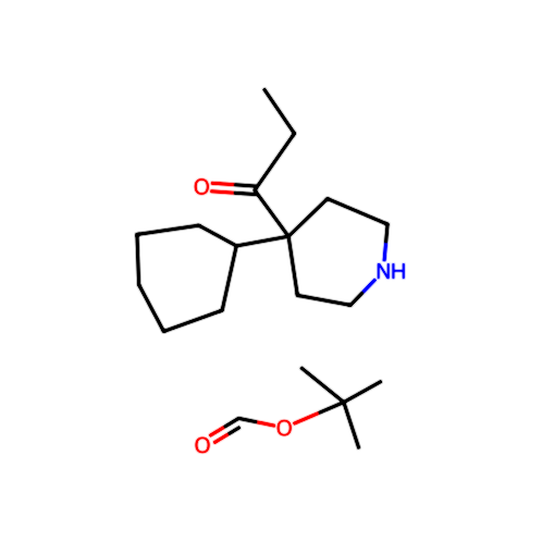 CC(C)(C)OC=O.CCC(=O)C1(C2CCCCC2)CCNCC1